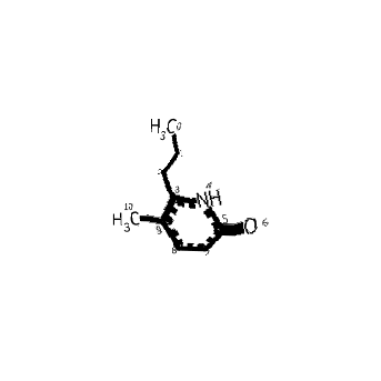 CCCc1[nH]c(=O)ccc1C